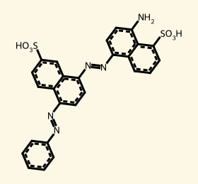 Nc1ccc(N=Nc2ccc(N=Nc3ccccc3)c3ccc(S(=O)(=O)O)cc23)c2cccc(S(=O)(=O)O)c12